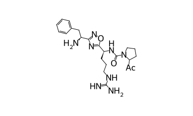 CC(=O)C1CCCN1C(=O)N[C@@H](CCCNC(=N)N)c1nc([C@@H](N)Cc2ccccc2)no1